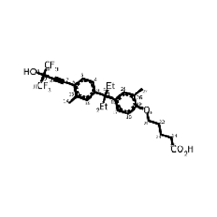 CCC(CC)(c1ccc(C#CC(O)(C(F)(F)F)C(F)(F)F)c(C)c1)c1ccc(OCCCCC(=O)O)c(C)c1